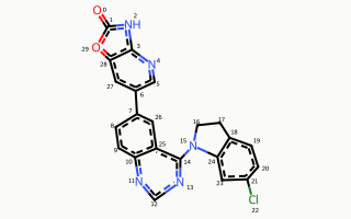 O=c1[nH]c2ncc(-c3ccc4ncnc(N5CCc6ccc(Cl)cc65)c4c3)cc2o1